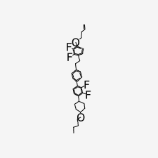 C=CCCOc1ccc(CCc2ccc(-c3ccc(C4CCC(OCCCC)CC4)c(F)c3F)cc2)c(F)c1F